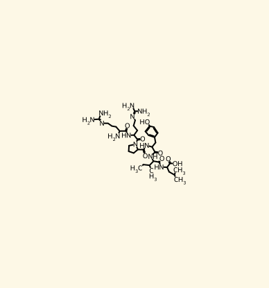 CCC(C)C(NC(=O)C(Cc1ccc(O)cc1)NC(=O)C1CCCN1C(=O)C(CCCN=C(N)N)NC(=O)C(N)CCCN=C(N)N)C(=O)NC(CC(C)C)C(=O)O